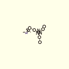 C=C/C=C\c1sc2cccc(-c3ccc(-c4nc(-c5ccc(-c6ccccc6)cc5)nc(-c5ccc6ccccc6c5)n4)cc3)c2c1C